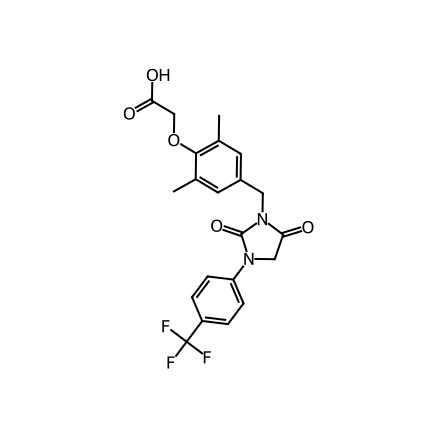 Cc1cc(CN2C(=O)CN(c3ccc(C(F)(F)F)cc3)C2=O)cc(C)c1OCC(=O)O